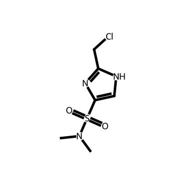 CN(C)S(=O)(=O)c1c[nH]c(CCl)n1